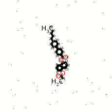 C=CC(=O)Oc1cccc2c(OC(=O)C3CCC(C4CCC(CCCCC)CC4)CC3)cccc12